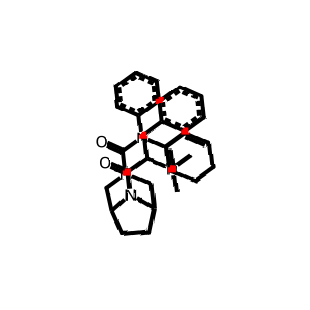 CN(C)C(Cc1ccccc1)C(=O)N1C2CCC1CN(C(=O)N(C1=CCCC=C1)c1ccccc1)C2